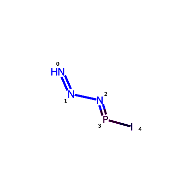 N=N/N=P/I